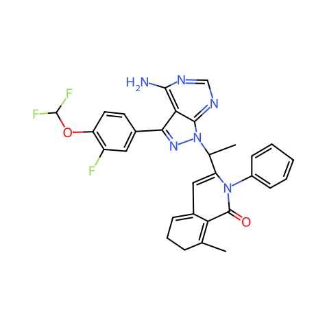 CC1=c2c(cc(C(C)n3nc(-c4ccc(OC(F)F)c(F)c4)c4c(N)ncnc43)n(-c3ccccc3)c2=O)=CCC1